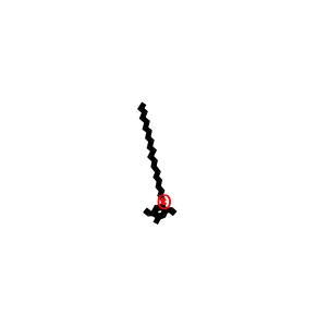 C=Cc1cc(OCCCCCCCCCCCCCCCCCCCC)c(C=C)cc1C